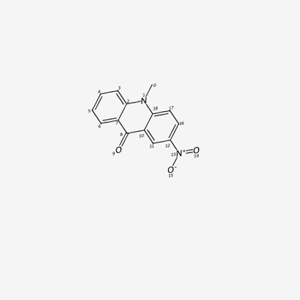 Cn1c2ccccc2c(=O)c2cc([N+](=O)[O-])ccc21